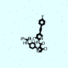 Cc1cc(C#Cc2ccc(F)cc2)cnc1NC(=O)c1c(Cl)cnn1C1CCC(NC(=O)C(C)C)CC1